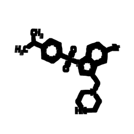 CC(C)c1ccc(S(=O)(=O)n2cc(CN3CCNCC3)c3cc(Br)ccc32)cc1